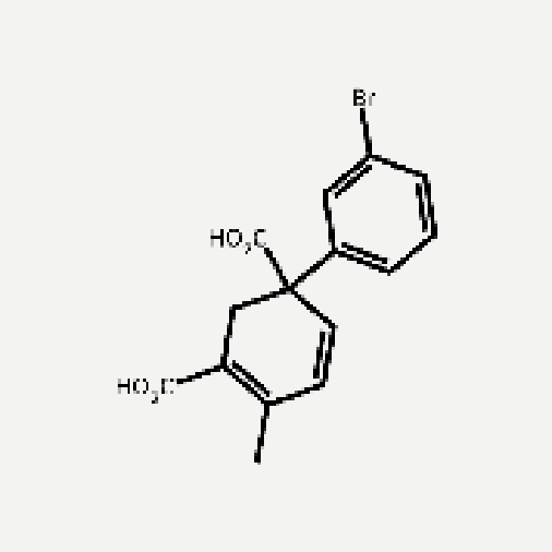 CC1=C(C(=O)O)CC(C(=O)O)(c2cccc(Br)c2)C=C1